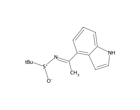 C/C(=N\[S+]([O-])C(C)(C)C)c1cccc2[nH]ccc12